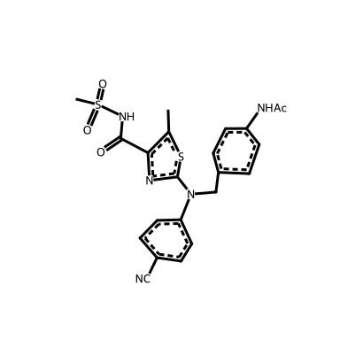 CC(=O)Nc1ccc(CN(c2ccc(C#N)cc2)c2nc(C(=O)NS(C)(=O)=O)c(C)s2)cc1